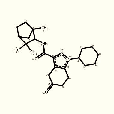 CC12CCC(C1)C(C)(C)C2NC(=O)c1nn(C2CCCCC2)c2c1CC(=O)CC2